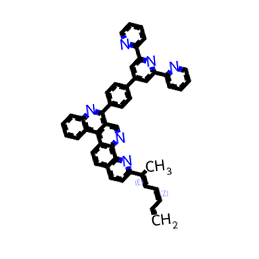 C=C/C=C\C=C(/C)c1ccc2ccc3c(ncc4c(-c5ccc(-c6cc(-c7ccccn7)nc(-c7ccccn7)c6)cc5)nc5ccccc5c43)c2n1